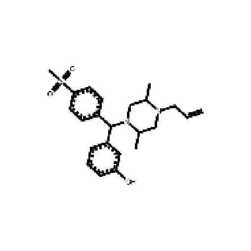 C=CCN1CC(C)N(C(c2ccc(S(C)(=O)=O)cc2)c2cccc(O)c2)CC1C